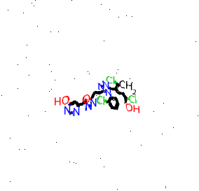 C=C(Cl)/C(=C\C=C(\Cl)CO)c1nnc(/C=C/c2nnc(-c3cc(O)ncn3)o2)n1-c1ccccc1Cl